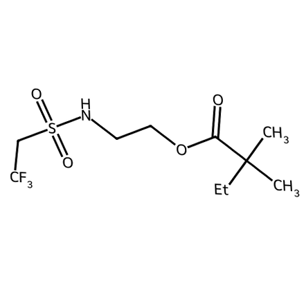 CCC(C)(C)C(=O)OCCNS(=O)(=O)CC(F)(F)F